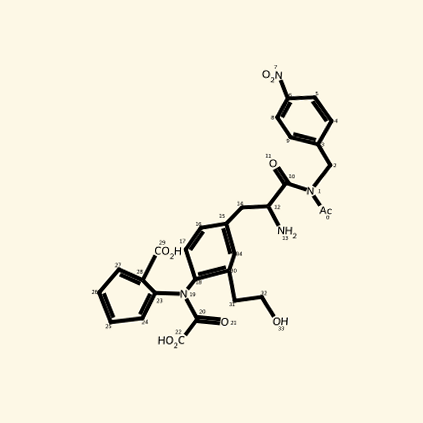 CC(=O)N(Cc1ccc([N+](=O)[O-])cc1)C(=O)C(N)Cc1ccc(N(C(=O)C(=O)O)c2ccccc2C(=O)O)c(CCO)c1